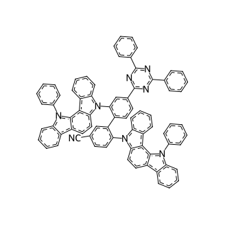 N#Cc1ccc(-n2c3ccccc3c3c2ccc2c4ccccc4n(-c4ccccc4)c23)c(-c2ccc(-c3nc(-c4ccccc4)nc(-c4ccccc4)n3)cc2-n2c3ccccc3c3c2ccc2c4ccccc4n(-c4ccccc4)c23)c1